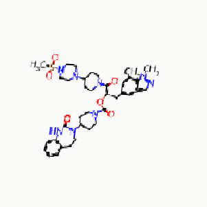 Cc1cc(C[C@@H](OC(=O)N2CCC(N3CCc4ccccc4NC3=O)CC2)C(=O)N2CCC(N3CCN(S(C)(=O)=O)CC3)CC2)cc2cnn(C)c12